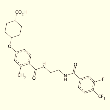 Cc1cc(O[C@H]2CC[C@@H](C(=O)O)CC2)ccc1C(=O)NCCNC(=O)c1ccc(C(F)(F)F)c(F)c1